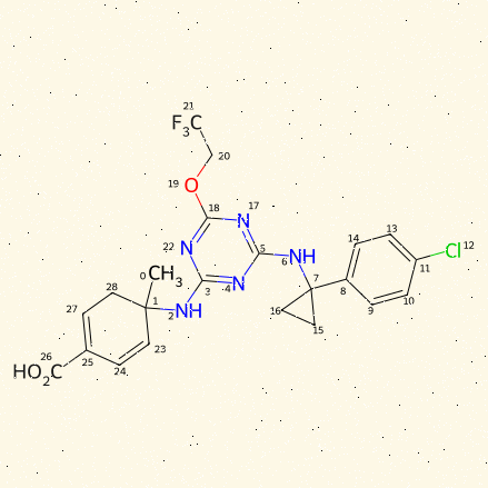 CC1(Nc2nc(NC3(c4ccc(Cl)cc4)CC3)nc(OCC(F)(F)F)n2)C=CC(C(=O)O)=CC1